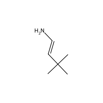 CC(C)(C)C=CN